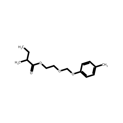 CCC(C)C(=O)OCCOCOc1ccc(C)cc1